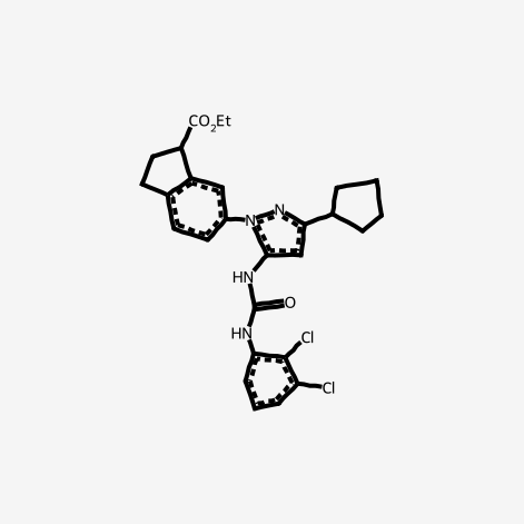 CCOC(=O)C1CCc2ccc(-n3nc(C4CCCC4)cc3NC(=O)Nc3cccc(Cl)c3Cl)cc21